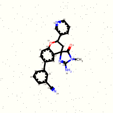 CN1C(=O)C2(CC(c3cccnc3)Oc3ccc(-c4cccc(C#N)c4)cc32)N=C1N